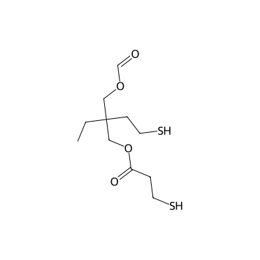 CCC(CCS)(COC=O)COC(=O)CCS